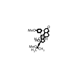 COc1cccc([C@H]2C[C@@]3(C)[C@@H](CC[C@@]3(O)C#CC(C)(C)OC)[C@@H]3CCC4=CC(=O)CCC4=C32)c1